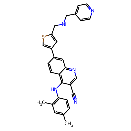 Cc1ccc(Nc2c(C#N)cnc3cc(-c4csc(CNCc5ccncc5)c4)ccc23)c(C)c1